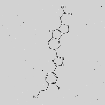 CCCc1ccc(-c2nc(C3C=c4c5c([nH]c4=CC3)C(CC(=O)O)CC5)no2)cc1F